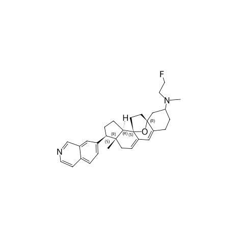 CN(CCF)C1CCC2=CC3=CC[C@]4(C)[C@@H](c5ccc6ccncc6c5)CC[C@H]4[C@@]34CC[C@]2(C1)O4